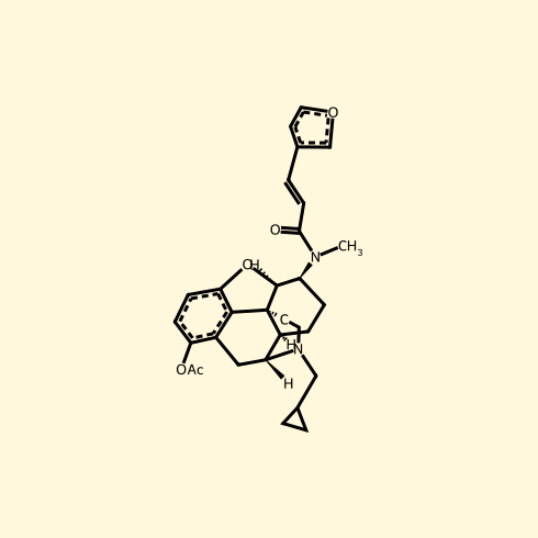 CC(=O)Oc1ccc2c3c1C[C@@H]1[C@@H]4CC[C@H](N(C)C(=O)/C=C/c5ccoc5)[C@H](O2)[C@]34CCN1CC1CC1